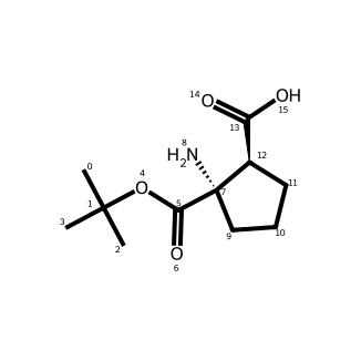 CC(C)(C)OC(=O)[C@]1(N)CCC[C@@H]1C(=O)O